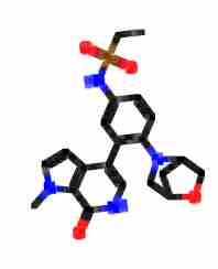 CCS(=O)(=O)Nc1ccc(N2CC3CC2CO3)c(-c2c[nH]c(=O)c3c2ccn3C)c1